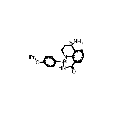 CC(C)Oc1ccc([C@@H]2NC(=O)c3cccc4c3N2CC[C@H]4N)cc1